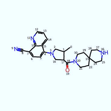 CC1CN(c2ccc(C#N)c3ncccc23)CC1C(=O)N1CCC2(CCNCC2)CC1